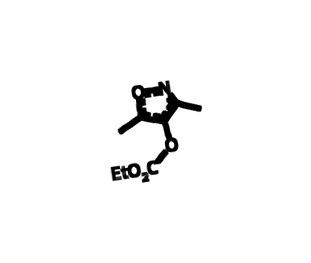 CCOC(=O)Oc1c(C)noc1C